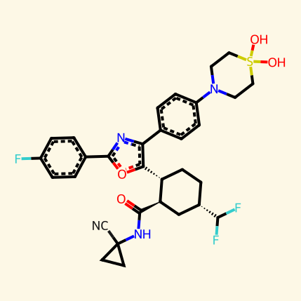 N#CC1(NC(=O)[C@@H]2C[C@@H](C(F)F)CC[C@H]2c2oc(-c3ccc(F)cc3)nc2-c2ccc(N3CCS(O)(O)CC3)cc2)CC1